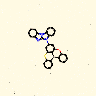 c1ccc2c(c1)Oc1cc(-n3c4ccccc4n4c5ccccc5nc34)cc3c1B2c1ccccc1S3